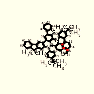 CC(C)(C)c1ccc(N2B3c4cc5occc5cc4N(c4ccc(C(C)(C)C)cc4-c4ccccc4)c4c3c(cc3c4sc4ccccc43)-c3cc4c(cc32)C(C)(C)c2ccccc2-4)cc1